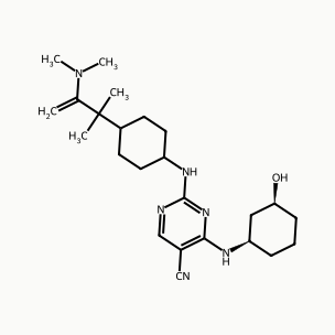 C=C(N(C)C)C(C)(C)C1CCC(Nc2ncc(C#N)c(N[C@@H]3CCC[C@H](O)C3)n2)CC1